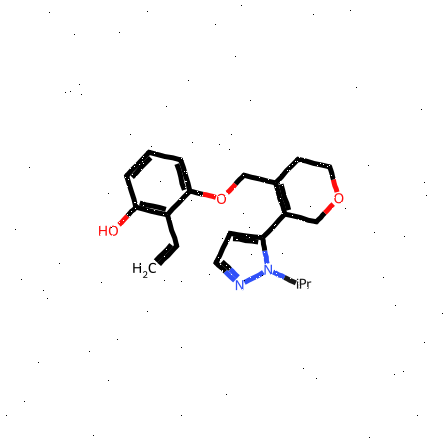 C=Cc1c(O)cccc1OCC1=C(c2ccnn2C(C)C)COCC1